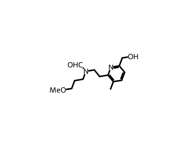 COCCCN(C=O)CCc1nc(CO)ccc1C